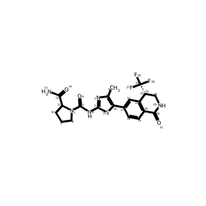 Cc1nc(NC(=O)N2CCCC2C(N)=O)sc1-c1ccc2c(c1)[C@H](C(F)(F)F)CNC2=O